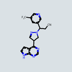 N#CCC(c1cncc(C(F)(F)F)c1)N1CC(c2ncnc3[nH]ccc23)C=N1